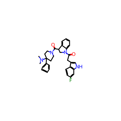 CN(C)C1(c2ccccc2)CCN(C(=O)C2CN(C(=O)Cc3c[nH]c4cc(F)ccc34)c3ccccc32)CC1